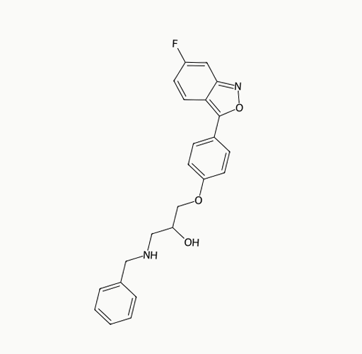 OC(CNCc1ccccc1)COc1ccc(-c2onc3cc(F)ccc23)cc1